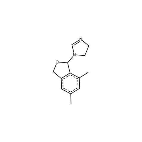 Cc1cc(C)c2c(c1)COC2N1C=NCC1